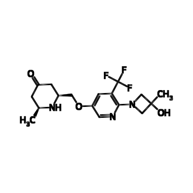 C[C@H]1CC(=O)C[C@@H](COc2cnc(N3CC(C)(O)C3)c(C(F)(F)F)c2)N1